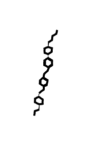 CCCCC[C@H]1CC[C@H](c2ccc(CCc3ccc(CC[C@H]4CC[C@H](CCC)CC4)cc3)cc2)CC1